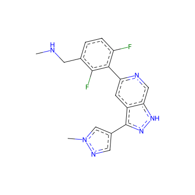 CNCc1ccc(F)c(-c2cc3c(-c4cnn(C)c4)n[nH]c3cn2)c1F